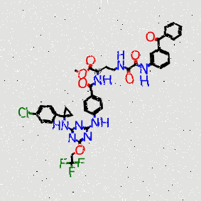 COC(=O)[C@@H](CCNC(=O)C(=O)Nc1cccc(C(=O)c2ccccc2)c1)NC(=O)c1ccc(Nc2nc(NC3(c4ccc(Cl)cc4)CC3)nc(OCC(F)(F)F)n2)cc1